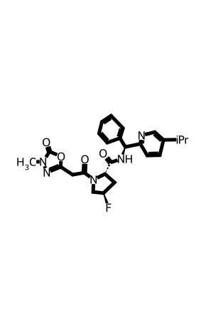 CC(C)c1ccc([C@@H](NC(=O)[C@@H]2C[C@@H](F)CN2C(=O)Cc2nn(C)c(=O)o2)c2ccccc2)nc1